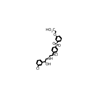 Cl.O=C(O)COc1cccc(S(=O)(=O)c2ccc(CCNCC(O)c3cccc(Cl)c3)cc2)c1